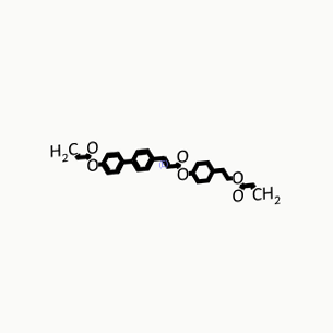 C=CC(=O)OCCC1CCC(OC(=O)/C=C/c2ccc(-c3ccc(OC(=O)C=C)cc3)cc2)CC1